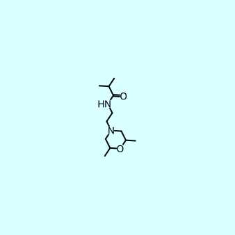 CC1CN(CCNC(=O)C(C)C)CC(C)O1